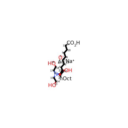 CC(=O)[O-].CCCCCCCCC=CCCCCCCCC(=O)O.OCCN(CCO)CCO.[Na+]